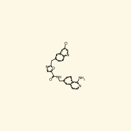 Nc1nccc2cc(CNC(=O)c3cnc(Cc4ccc5ncc(Cl)cc5c4)o3)ccc12